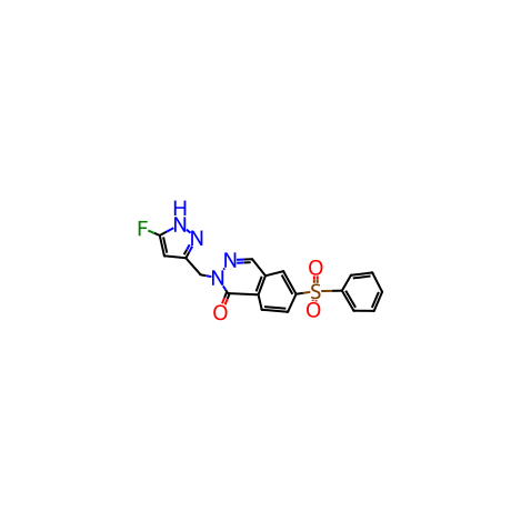 O=c1c2ccc(S(=O)(=O)c3ccccc3)cc2cnn1Cc1cc(F)[nH]n1